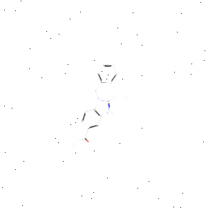 COC(=O)c1ccc2c(c1)nc(C)n2Cc1ccc(Cl)cc1